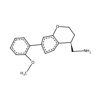 COc1ccccc1-c1ccc2c(c1)OCC[C@H]2CN